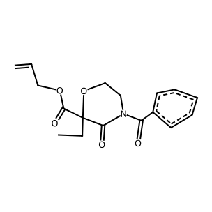 C=CCOC(=O)C1(CC)OCCN(C(=O)c2ccccc2)C1=O